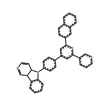 C1=CC2C(C=N1)c1ccccc1N2c1ccc(-c2cc(-c3cccnc3)nc(-c3ccc4ccccc4c3)c2)cc1